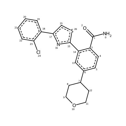 NC(=O)c1ccc(C2CCOCC2)cc1-c1nc(-c2ccccc2Cl)cs1